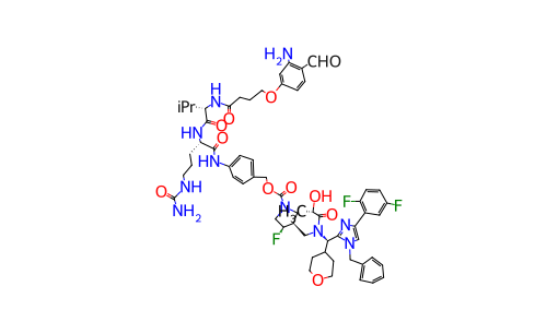 CC(C)[C@H](NC(=O)CCCOc1ccc(C=O)c(N)c1)C(=O)N[C@@H](CCCNC(N)=O)C(=O)Nc1ccc(COC(=O)N2C[C@@H](CN(C(=O)[C@H](C)O)[C@@H](c3nc(-c4cc(F)ccc4F)cn3Cc3ccccc3)C3CCOCC3)[C@@H](F)C2)cc1